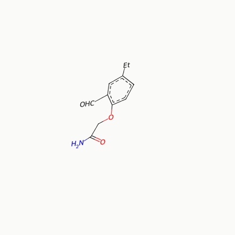 CCc1ccc(OCC(N)=O)c(C=O)c1